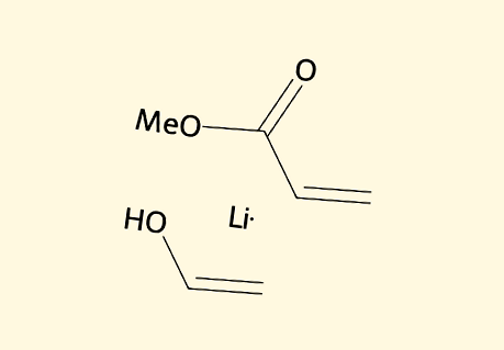 C=CC(=O)OC.C=CO.[Li]